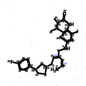 Cc1nc(NCC(/C=N\N)=C/C[C@H]2CCN(c3ccc(F)cc3)C2)nc2c1NC(=O)[C@H](C)N2C